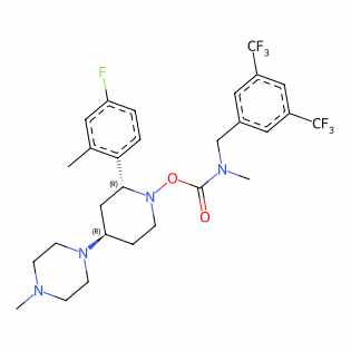 Cc1cc(F)ccc1[C@H]1C[C@H](N2CCN(C)CC2)CCN1OC(=O)N(C)Cc1cc(C(F)(F)F)cc(C(F)(F)F)c1